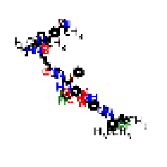 CCC1(C(F)F)CC1C1=C(CN2CCN(c3ccc(C(=O)NS(=O)(=O)c4ccc(NC(CCN5CCN(C(=O)CCCCC(=O)NC(C(=O)N6CCCC6C(C)c6ccc(-c7scnc7C)cc6)C(C)(C)C)CC5)CSc5ccccc5)c(S(=O)(=O)C(F)(F)F)c4)cc3)CC2)CCC(C)(C)C1